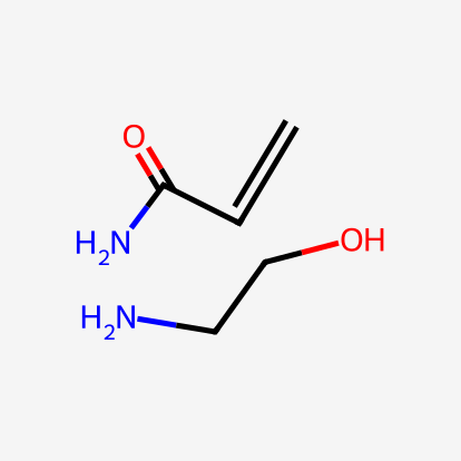 C=CC(N)=O.NCCO